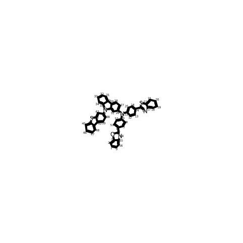 c1ccc2oc(-c3ccc(N(c4ccc(-c5nc6ccccc6s5)cc4)c4ccc5c6ccccc6n(-c6ccc7c(c6)sc6ccccc67)c5c4)cc3)nc2c1